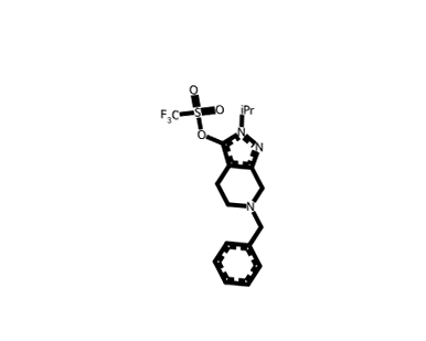 CC(C)n1nc2c(c1OS(=O)(=O)C(F)(F)F)CCN(Cc1ccccc1)C2